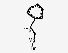 C[C@@H]([CH2][Mg][Br])c1ccccc1